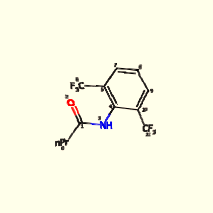 [CH2]CCC(=O)Nc1c(C(F)(F)F)cccc1C(F)(F)F